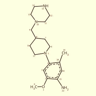 COc1cc(N2CCC(CN3CCNCC3)CC2)c(C)cc1N